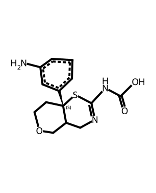 Nc1cccc([C@]23CCOCC2CN=C(NC(=O)O)S3)c1